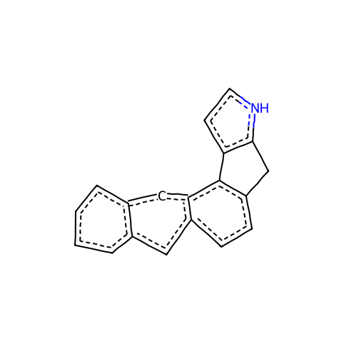 c1ccc2cc3c4c(ccc3cc2c1)Cc1[nH]ccc1-4